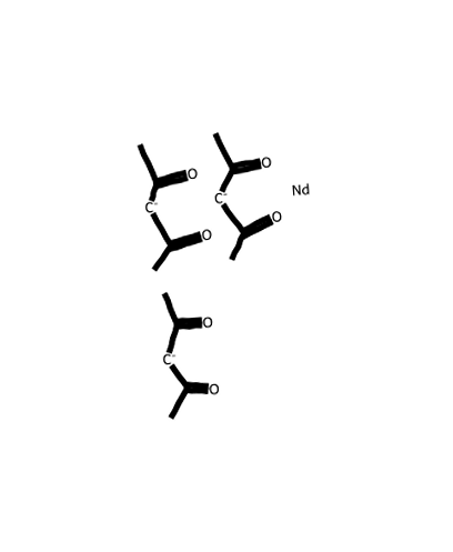 CC(=O)[CH-]C(C)=O.CC(=O)[CH-]C(C)=O.CC(=O)[CH-]C(C)=O.[Nd]